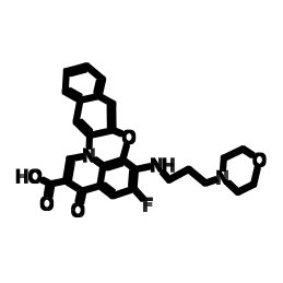 O=C(O)c1cn2c3c(c(NCCCN4CCOCC4)c(F)cc3c1=O)Oc1cc3ccccc3cc1-2